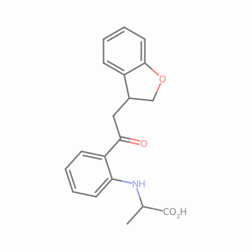 CC(Nc1ccccc1C(=O)CC1COc2ccccc21)C(=O)O